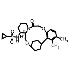 Cc1ccc2c(c1C)C1CCC(CC1)OC[C@H]1C(NS(=O)(=O)C3CC3)CCCN1C(=O)CO2